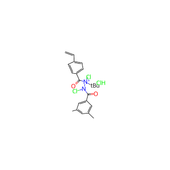 C=Cc1ccc(C(=O)[N+](Cl)(N(Cl)C(=O)c2cc(C)cc(C)c2)C(C)(C)C)cc1.Cl